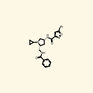 CC(C)c1cc(C(=O)N[C@@H]2C[C@H](CNC(=O)c3ccccc3)N(C3CC3)C2)no1